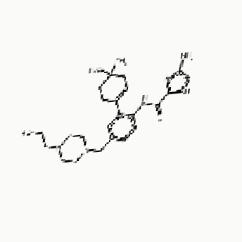 CC1(C)CC=C(c2cc(CN3CCN(CCO)CC3)ccc2NC(=O)c2nc(N)c[nH]2)CC1